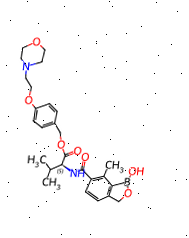 Cc1c(C(=O)N[C@H](C(=O)OCc2ccc(OCCN3CCOCC3)cc2)C(C)C)ccc2c1B(O)OC2